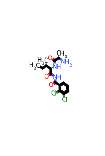 CC[C@H](C)[C@H](NC(=O)[C@H](C)N)C(=O)NC(=O)c1cccc(Cl)c1Cl